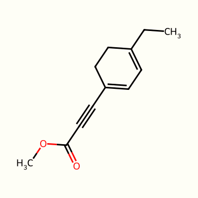 CCC1=CC=C(C#CC(=O)OC)CC1